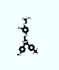 COc1ccc(-c2nc(COc3ccc(OCC(=O)O)c(Br)c3)sc2-c2ccc(C(F)(F)F)cc2)cc1